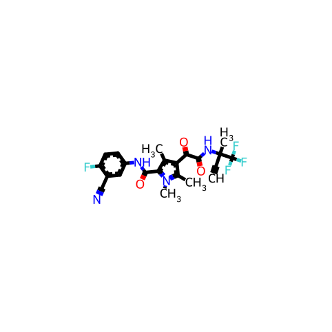 C#CC(C)(NC(=O)C(=O)c1c(C)c(C(=O)Nc2ccc(F)c(C#N)c2)n(C)c1C)C(F)(F)F